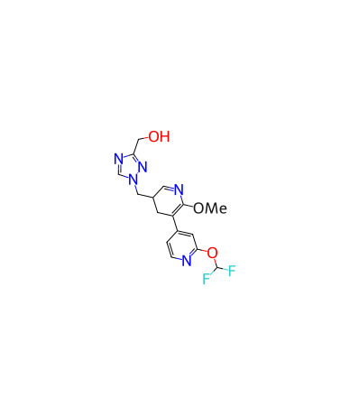 COC1=C(c2ccnc(OC(F)F)c2)CC(Cn2cnc(CO)n2)C=N1